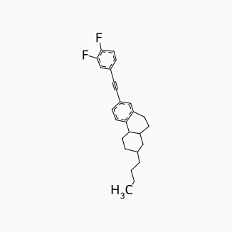 CCCCC1CCC2c3ccc(C#Cc4ccc(F)c(F)c4)cc3CCC2C1